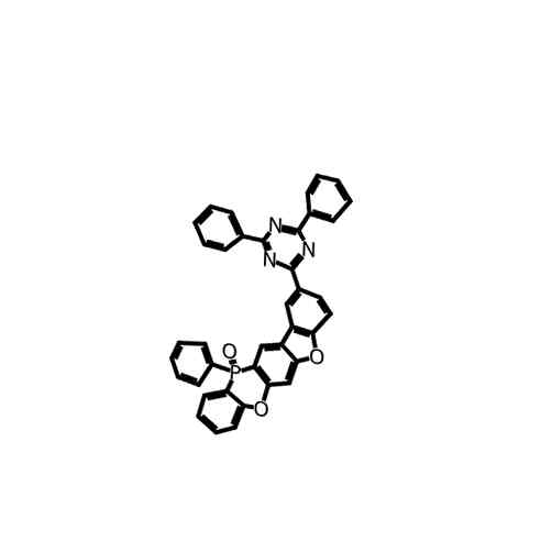 O=P1(c2ccccc2)c2ccccc2Oc2cc3oc4ccc(-c5nc(-c6ccccc6)nc(-c6ccccc6)n5)cc4c3cc21